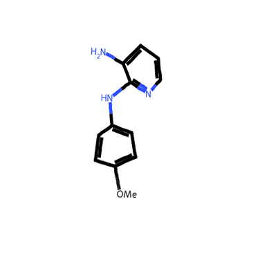 COc1ccc(Nc2ncccc2N)cc1